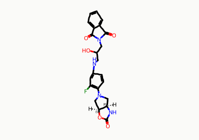 O=C1N[C@@H]2CN(c3ccc(NCC(O)CN4C(=O)c5ccccc5C4=O)cc3F)C[C@@H]2O1